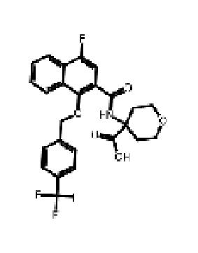 O=C(NC1(C(=O)O)CCOCC1)c1cc(F)c2ccccc2c1OCc1ccc(C(F)(F)F)cc1